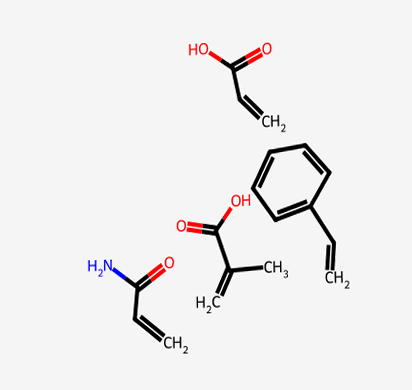 C=C(C)C(=O)O.C=CC(=O)O.C=CC(N)=O.C=Cc1ccccc1